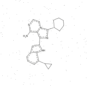 Nc1nccn2c(C3CCCCC3)nc(-c3cc4cccc(C5CC5)c4[nH]3)c12